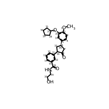 COc1ccc([C@H]2CC(=O)C(c3cccc(C(=O)NCCO)c3)C2)cc1OC1CCCC1